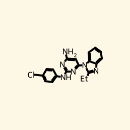 CCc1nc2ccccc2n1-c1cc(N)nc(Nc2ccc(Cl)cc2)n1